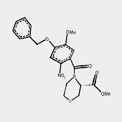 COC(=O)[C@@H]1COCCN1C(=O)c1cc(OC)c(OCc2ccccc2)cc1[N+](=O)[O-]